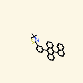 CC1(C)CSC(c2cccc(-c3c4ccccc4c(-c4cccc5ccccc45)c4ccccc34)c2)=N1